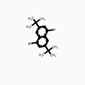 CC(C)(C)c1cc(Br)c2cc(C(C)(C)C)cc(Br)c2c1